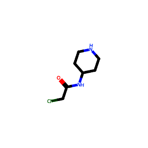 O=C(CCl)NC1CCNCC1